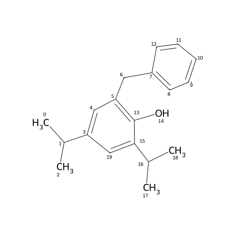 CC(C)c1cc(Cc2c[c]ccc2)c(O)c(C(C)C)c1